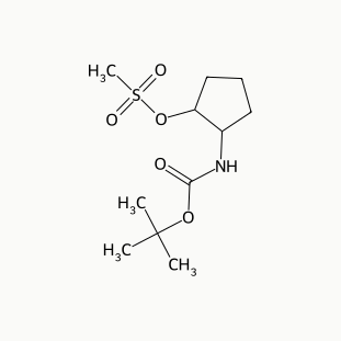 CC(C)(C)OC(=O)NC1CCCC1OS(C)(=O)=O